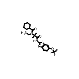 CC(C)(C(=O)Nc1nc2ccc(OC(F)(F)F)cc2s1)N(CN)C(=O)C1CCCCC1